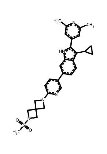 Cc1cc(-c2[nH]c3cc(-c4ccc(N5CC6(C5)CN(S(C)(=O)=O)C6)nc4)ccc3c2C2CC2)cc(C)n1